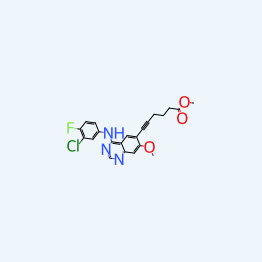 COC(=O)CCCC#Cc1cc2c(Nc3ccc(F)c(Cl)c3)ncnc2cc1OC